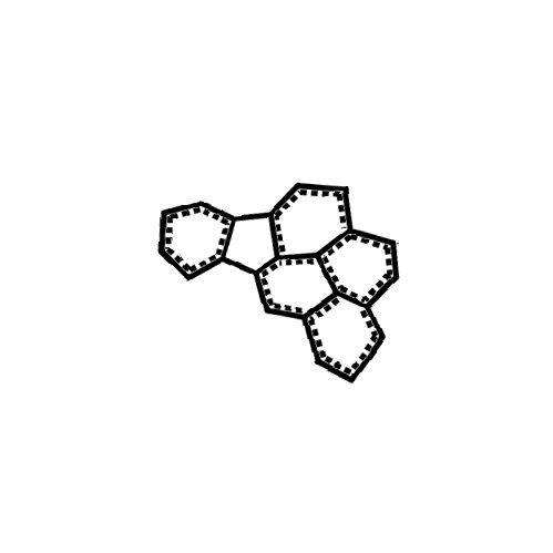 [c]1cc2cccc3cc4c5c(ccc1c5c23)-c1ccccc1-4